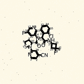 N#Cc1ccnc(N2SCC[C@H]2C(=O)N(c2cncc(F)c2)[C@H](C(=O)NC2CC(F)(F)C2)c2ccccc2Cl)c1